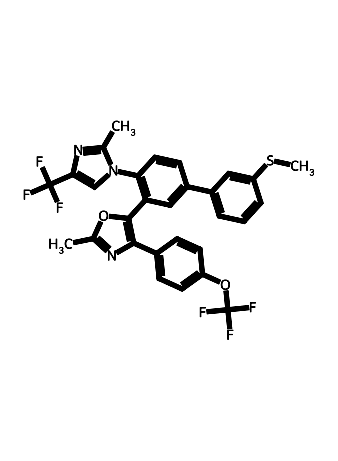 CSc1cccc(-c2ccc(-n3cc(C(F)(F)F)nc3C)c(-c3oc(C)nc3-c3ccc(OC(F)(F)F)cc3)c2)c1